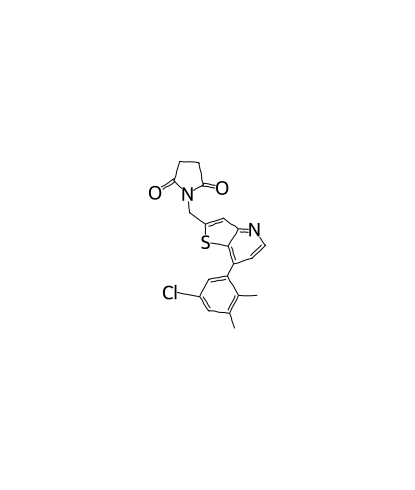 Cc1cc(Cl)cc(-c2ccnc3cc(CN4C(=O)CCC4=O)sc23)c1C